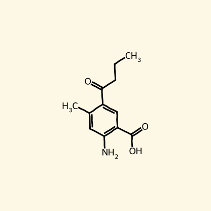 CCCC(=O)c1cc(C(=O)O)c(N)cc1C